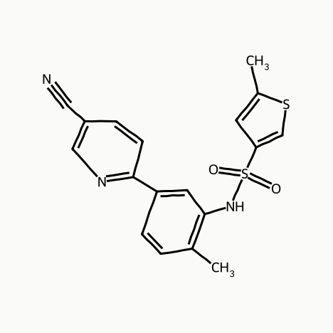 Cc1cc(S(=O)(=O)Nc2cc(-c3ccc(C#N)cn3)ccc2C)cs1